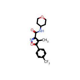 Cc1c(C(=O)NC2CCOCC2)noc1-c1ccc(C(F)(F)F)cc1